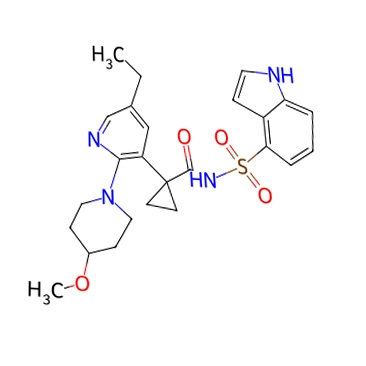 CCc1cnc(N2CCC(OC)CC2)c(C2(C(=O)NS(=O)(=O)c3cccc4[nH]ccc34)CC2)c1